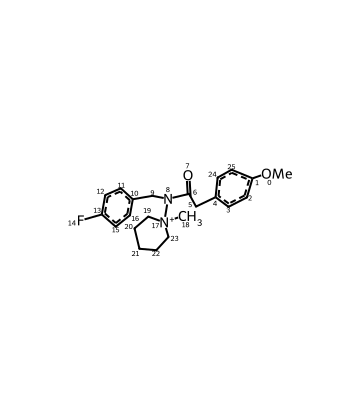 COc1ccc(CC(=O)N(Cc2ccc(F)cc2)[N+]2(C)CCCCC2)cc1